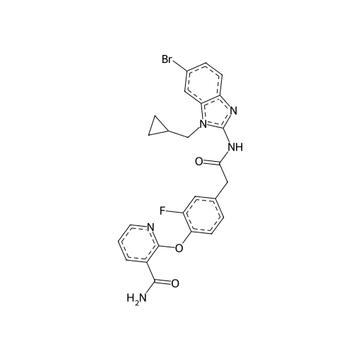 NC(=O)c1cccnc1Oc1ccc(CC(=O)Nc2nc3ccc(Br)cc3n2CC2CC2)cc1F